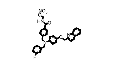 O=C(NCO[N+](=O)[O-])c1ccc(CN(Cc2cccc(F)c2)c2ccc(OCc3ccc4ccccc4n3)cc2)cc1